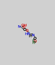 N#C[C@H](Cc1ccc(OCCN[C@H]2C3CN(Cc4ccc(OC(F)(F)F)cc4)C[C@@H]32)cc1)C(=O)O